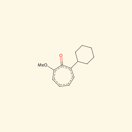 COc1ccccc(C2CCCCC2)c1=O